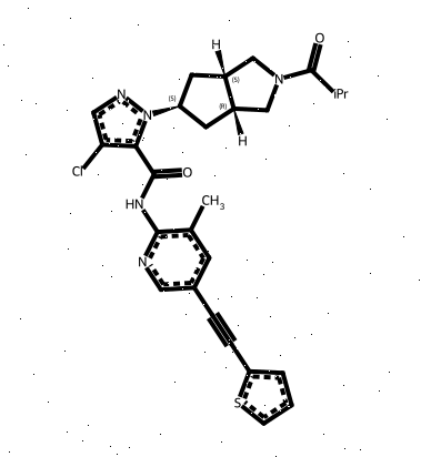 Cc1cc(C#Cc2cccs2)cnc1NC(=O)c1c(Cl)cnn1[C@H]1C[C@@H]2CN(C(=O)C(C)C)C[C@@H]2C1